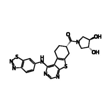 O=C([C@H]1CCc2c(sc3ncnc(Nc4ccc5nnsc5c4)c23)C1)N1C[C@@H](O)[C@H](O)C1